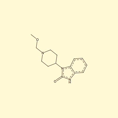 COCN1CCC(n2c(=O)[nH]c3ccccc32)CC1